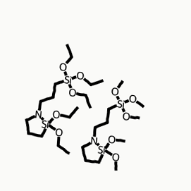 CCO[Si](CCCN1CCC[Si]1(OCC)OCC)(OCC)OCC.CO[Si](CCCN1CCC[Si]1(OC)OC)(OC)OC